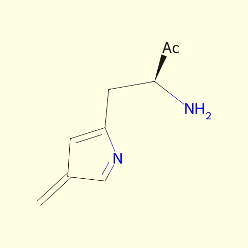 C=C1C=NC(C[C@H](N)C(C)=O)=C1